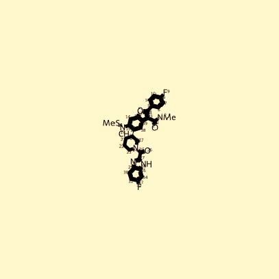 CNC(=O)c1c(-c2ccc(F)cc2)oc2cc(N(C)SC)c([C@H]3CCCN(C(=O)c4nc5ccc(F)cc5[nH]4)C3)cc12